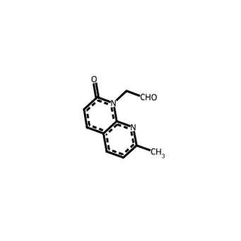 Cc1ccc2ccc(=O)n(CC=O)c2n1